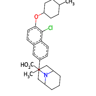 CC1CCC(Oc2ccc3cc(C(C)N4C5CCCC4CC(C(=O)O)C5)ccc3c2Cl)CC1